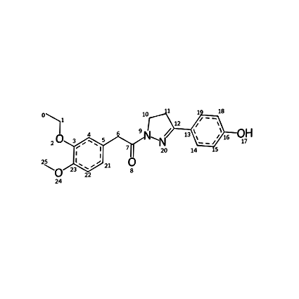 CCOc1cc(CC(=O)N2CCC(c3ccc(O)cc3)=N2)ccc1OC